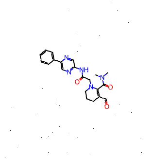 CN(C)C(=O)C1=C(C=O)CCCN1CC(=O)Nc1cnc(-c2ccccc2)cn1